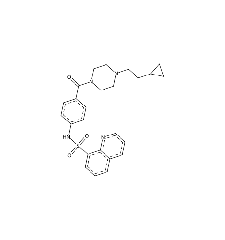 O=C(c1ccc(NS(=O)(=O)c2cccc3cccnc23)cc1)N1CCN(CCC2CC2)CC1